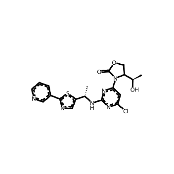 C[C@H](Nc1nc(Cl)cc(N2C(=O)OCC2[C@@H](C)O)n1)c1cnc(-c2cccnc2)s1